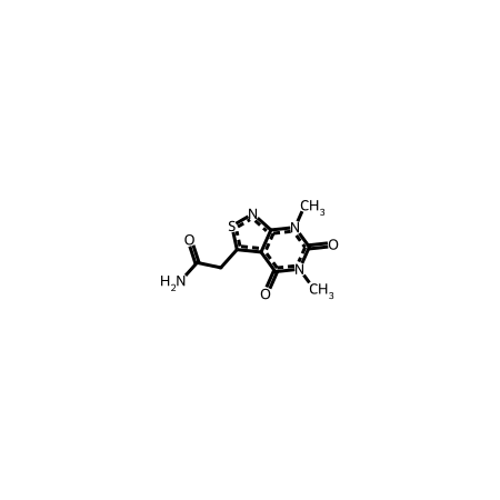 Cn1c(=O)c2c(CC(N)=O)snc2n(C)c1=O